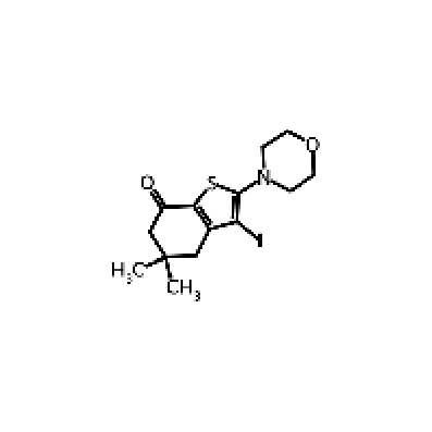 CC1(C)CC(=O)c2sc(N3CCOCC3)c(I)c2C1